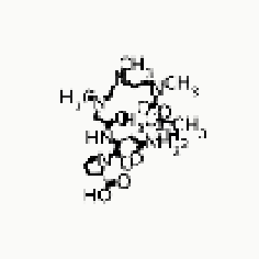 CN(CCN(C)CC(=O)N[C@@H](CC(N)=O)C(=O)N1CCC[C@H]1C(=O)O)CCN(C)C(=O)OC(C)(C)C